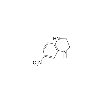 O=[N+]([O-])c1ccc2c(c1)NCCN2